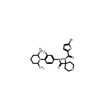 Cc1cc(NC(=O)C2(NC(=O)c3ccc(Br)s3)CCOCC2)ccc1N1C(C)CCCC1C